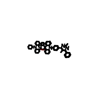 Cc1nc(-c2ccccc2)c(C)c(-c2ccc(N3c4ccccc4C4(c5ccccc53)c3ccccc3[Si]3(c5ccccc5N(c5ccccc5)c5ccccc53)c3ccccc34)cc2)n1